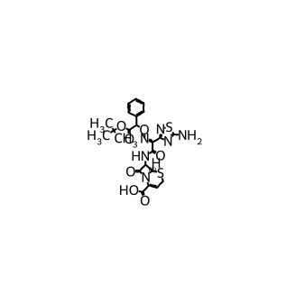 CC(C)(C)OC(=O)C(ON=C(C(=O)NC1C(=O)N2C(C(=O)O)=CCS[C@@H]12)c1nsc(N)n1)c1ccccc1